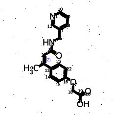 C/C(=C/C(=O)NCc1cccnc1)c1ccc(OCC(=O)O)cc1